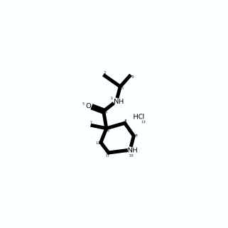 CC(C)NC(=O)C1(C)CCNCC1.Cl